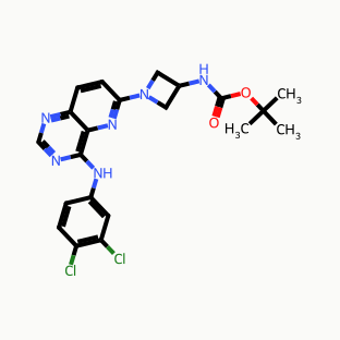 CC(C)(C)OC(=O)NC1CN(c2ccc3ncnc(Nc4ccc(Cl)c(Cl)c4)c3n2)C1